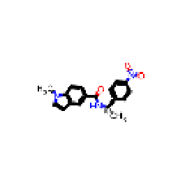 C[C@H](NC(=O)c1ccc2c(ccn2C)c1)c1ccc([N+](=O)[O-])cc1